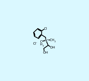 C[N+](C)(Cc1ccccc1Cl)C(O)CO.[Cl-]